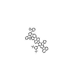 COc1ccccc1-c1ccc(-c2ccccc2OC)c2c1-c1ccc3c4ccc5c6c(-c7cc(C(C)(C)C)cc(C(C)(C)C)c7)c7cc8c9cccc%10cccc(c%109)c8c8c9ccccc9c(c6c6ccc(c9ccc-2c1c39)c4c56)c78